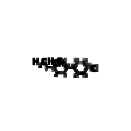 C/C=C(\C=C/[C@@H](C)CC)c1ccc(Cl)cc1